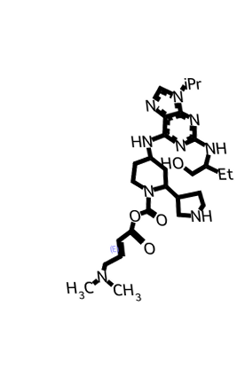 CCC(CO)Nc1nc(NC2CCN(C(=O)OC(=O)/C=C/CN(C)C)C(C3CCNC3)C2)c2ncn(C(C)C)c2n1